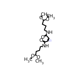 COC(CCCNC(=O)/C=C\C(=O)NCCCC(OC)OC)OC